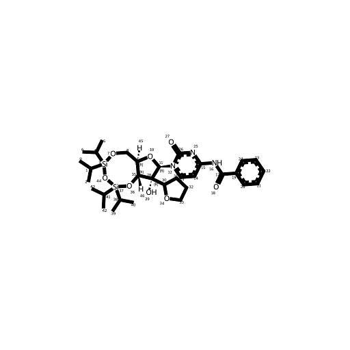 CC(C)[Si]1(C(C)C)OC[C@H]2O[C@@H](n3ccc(NC(=O)c4ccccc4)nc3=O)[C@@](O)(C3CCCO3)[C@@H]2O[Si](C(C)C)(C(C)C)O1